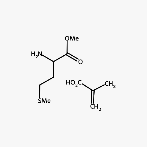 C=C(C)C(=O)O.COC(=O)C(N)CCSC